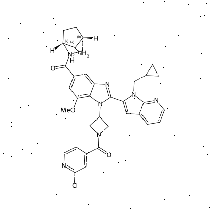 COc1cc(C(=O)N2C[C@H]3CC[C@@H]2[C@@H]3N)cc2nc(-c3cc4cccnc4n3CC3CC3)n(C3CN(C(=O)c4ccnc(Cl)c4)C3)c12